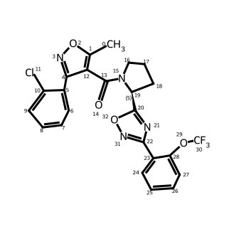 Cc1onc(-c2ccccc2Cl)c1C(=O)N1CCC[C@H]1c1nc(-c2ccccc2OC(F)(F)F)no1